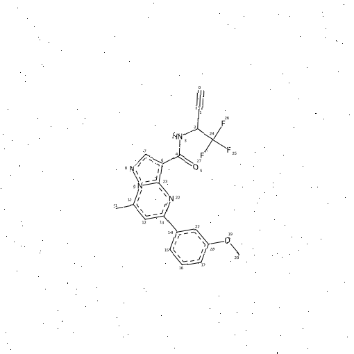 C#CC(NC(=O)c1cnn2c(C)cc(-c3cccc(OC)c3)nc12)C(F)(F)F